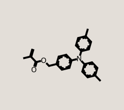 C=C(C)C(=O)OCc1ccc(N(c2ccc(C)cc2)c2ccc(C)cc2)cc1